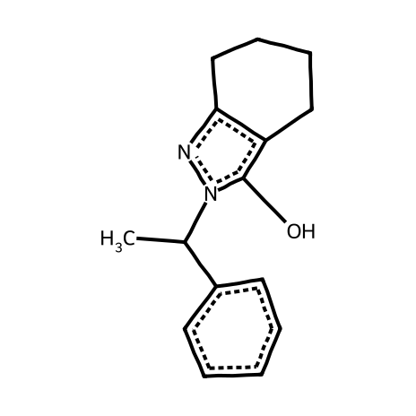 CC(c1ccccc1)n1nc2c(c1O)CCCC2